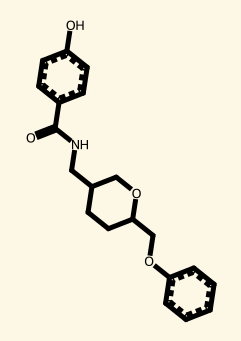 O=C(NCC1CCC(COc2ccccc2)OC1)c1ccc(O)cc1